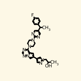 CC(O)Cn1cc(-c2cc3c(N4CCN(c5ncc(C(C)c6ccc(F)cc6)cn5)CC4)ncnn3c2)cn1